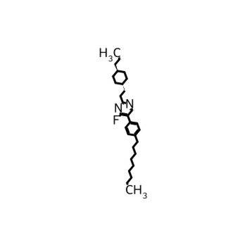 CCCCCCCCCc1ccc(-c2cnc(CC[C@H]3CC[C@H](CCC)CC3)nc2F)cc1